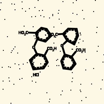 Cl.O=C(O)c1ccccc1Oc1ccccc1C(=O)O.O=C(O)c1ccccc1Oc1ccccc1C(=O)O